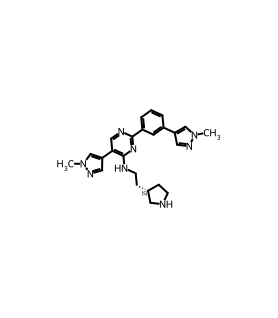 Cn1cc(-c2cccc(-c3ncc(-c4cnn(C)c4)c(NCC[C@@H]4CCNC4)n3)c2)cn1